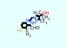 CC1=C(S)C=C=C2N=C(Cn3cc(C(C)(C)O)c(C(F)(F)F)n3)NC(C=O)=C21